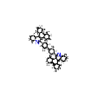 c1ccc2c(c1)nc(-c1ccc(-c3ccc(-c4nc5ccccc5c5c6ccccc6c6ccccc6c45)cc3)cc1)c1c3ccccc3c3ccccc3c21